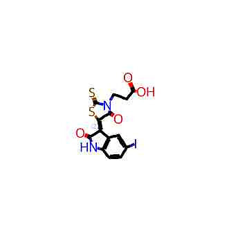 O=C(O)CCN1C(=O)/C(=C2/C(=O)Nc3ccc(I)cc32)SC1=S